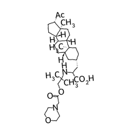 CC(=O)[C@H]1CC[C@H]2[C@@H]3CC[C@H]4C[C@@H](CC(NC(C)(C)COC(=O)CN5CCOCC5)C(=O)O)CC[C@]4(C)[C@H]3CC[C@]12C